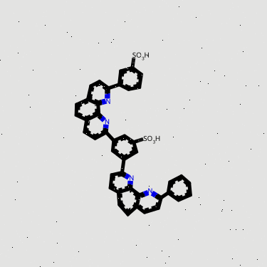 O=S(=O)(O)c1cccc(-c2ccc3ccc4ccc(-c5cc(-c6ccc7ccc8ccc(-c9ccccc9)nc8c7n6)cc(S(=O)(=O)O)c5)nc4c3n2)c1